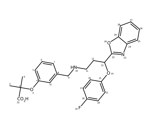 CC(C)(Oc1cccc(CNCCC(Oc2ccc(F)cc2)c2nc3ccccc3o2)c1)C(=O)O